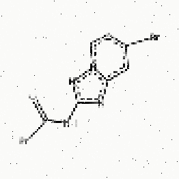 CC(C)C(=O)Nc1nc2cc(Br)ccn2n1